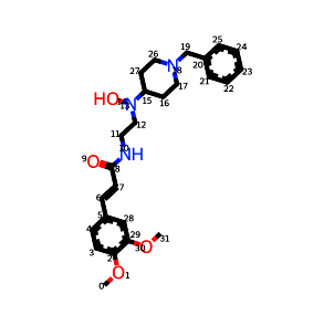 COc1ccc(C=CC(=O)NCCN(O)C2CCN(Cc3ccccc3)CC2)cc1OC